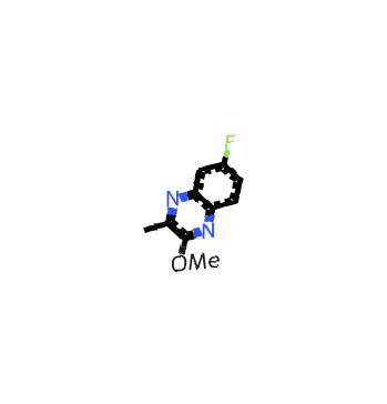 COc1nc2ccc(F)cc2nc1C